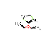 C=CF.C=COC=C.FCC(F)(F)F